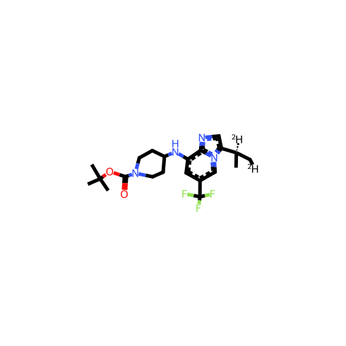 [2H]C[C@@]([2H])(C)c1cnc2c(NC3CCN(C(=O)OC(C)(C)C)CC3)cc(C(F)(F)F)cn12